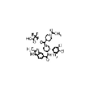 CC(=O)N1CCC(C(=O)N2CC[C@@H](N(C)C(=O)c3ccc4[nH]c(C)nc4c3)[C@H](c3ccc(Cl)c(Cl)c3)C2)CC1.O=C(O)C(F)(F)F